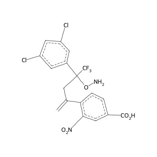 C=C(CC(ON)(c1cc(Cl)cc(Cl)c1)C(F)(F)F)c1ccc(C(=O)O)cc1[N+](=O)[O-]